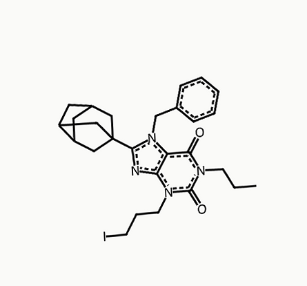 CCCn1c(=O)c2c(nc(C34CC5CC(C3)C(C5)C4)n2Cc2ccccc2)n(CCCI)c1=O